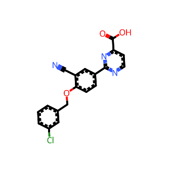 N#Cc1cc(-c2nccc(C(=O)O)n2)ccc1OCc1cccc(Cl)c1